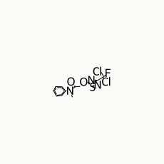 CN(C(=O)COc1nc(C(F)(Cl)Cl)ns1)c1ccccc1